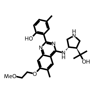 COCCOc1cc2nc(-c3cc(C)ccc3O)nc(N[C@@H]3CNC[C@H]3C(C)(C)O)c2cc1C